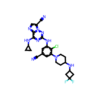 N#Cc1cc(Nc2nc(NC3CC3)c3ncc(C#N)n3n2)c(Cl)c(N2CCC(NC3CC(F)(F)C3)CC2)c1